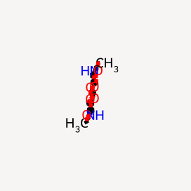 CCCCC(=O)Nc1ccc(-c2ccc(OC(=O)[C@H]3CC[C@H](C(=O)Oc4ccc(-c5ccc(NC(=O)CCCC)cc5)cc4)CC3)cc2)cc1